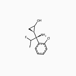 N[C@@](c1ccccc1Cl)(C(F)F)[C@H]1CC1O